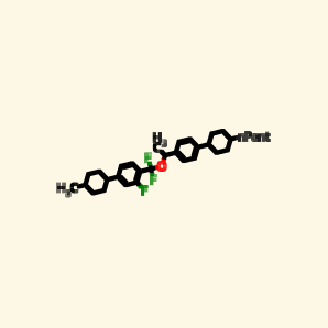 CCCCCC1CCC(c2ccc(C(C)OC(F)(F)c3ccc(C4CCC(C)CC4)cc3F)cc2)CC1